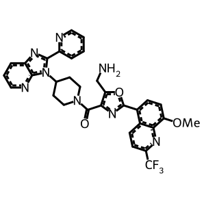 COc1ccc(-c2nc(C(=O)N3CCC(n4c(-c5ccccn5)nc5cccnc54)CC3)c(CN)o2)c2ccc(C(F)(F)F)nc12